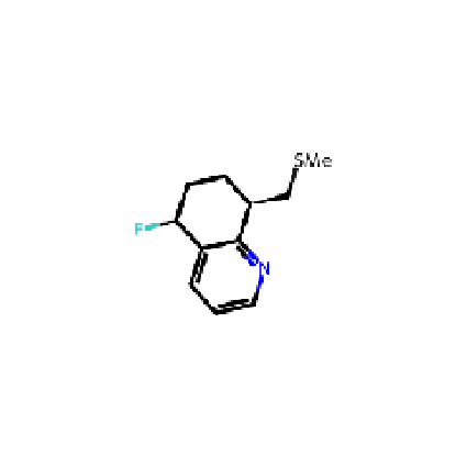 CSC[C@@H]1CC[C@H](F)c2cccnc21